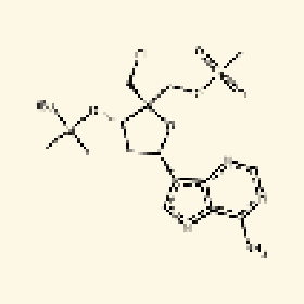 CC(C)(C)[Si](C)(C)O[C@H]1C[C@H](n2cnc3c(N)ncnc32)O[C@@]1(CO)COS(C)(=O)=O